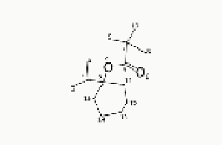 CC(C)C1(OC(=O)C(C)(C)C)CCCCC1